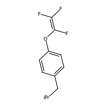 CC(C)Cc1ccc(OC(F)=C(F)F)cc1